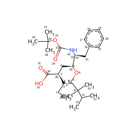 CCC[C@H](C[C@H](O[SiH2]C(C)(C)C(C)C)[C@H](Cc1ccccc1)NC(=O)OC(C)(C)C)C(=O)O